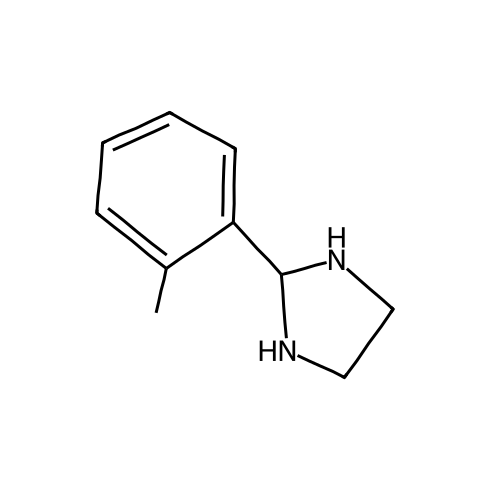 Cc1ccccc1C1NCCN1